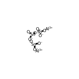 [Al+3].[Al+3].[O]=[Sn]([O-])[O-].[O]=[Sn]([O-])[O-].[O]=[Sn]([O-])[O-]